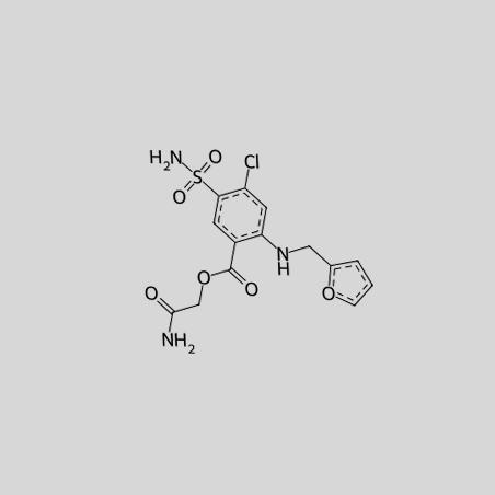 NC(=O)COC(=O)c1cc(S(N)(=O)=O)c(Cl)cc1NCc1ccco1